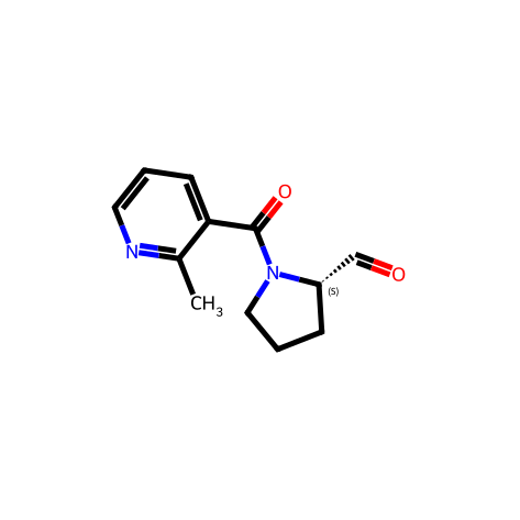 Cc1ncccc1C(=O)N1CCC[C@H]1C=O